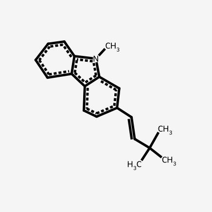 Cn1c2ccccc2c2ccc(/C=C/C(C)(C)C)cc21